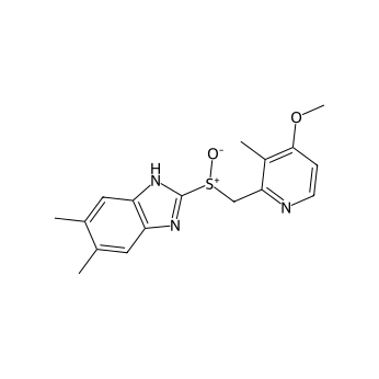 COc1ccnc(C[S+]([O-])c2nc3cc(C)c(C)cc3[nH]2)c1C